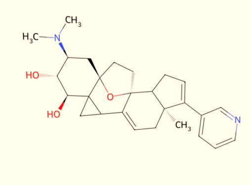 CN(C)[C@H]1C[C@@]23CC[C@@]4(O2)C(=CC[C@]2(C)C(c5cccnc5)=CCC24)C2CC23[C@@H](O)[C@@H]1O